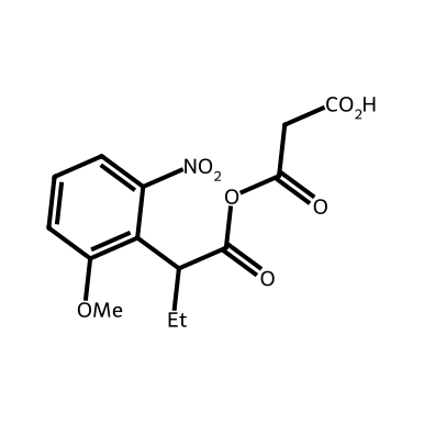 CCC(C(=O)OC(=O)CC(=O)O)c1c(OC)cccc1[N+](=O)[O-]